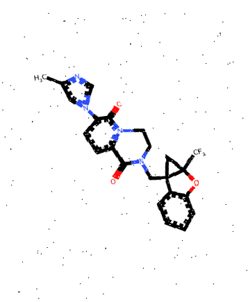 Cc1cn(-c2ccc3n(c2=O)CCN(CC24CC2(C(F)(F)F)Oc2ccccc24)C3=O)cn1